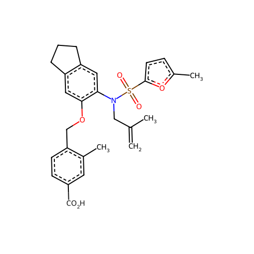 C=C(C)CN(c1cc2c(cc1OCc1ccc(C(=O)O)cc1C)CCC2)S(=O)(=O)c1ccc(C)o1